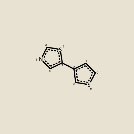 [c]1cc(-c2cncs2)cs1